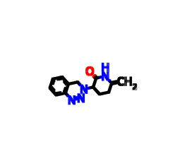 C=C1CCC(N2Cc3ccccc3N=N2)C(=O)N1